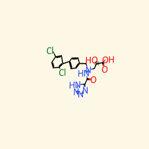 O=C(NN(Cc1ccc(-c2cc(Cl)ccc2Cl)cc1)C[C@@H](O)C(=O)O)c1nnn[nH]1